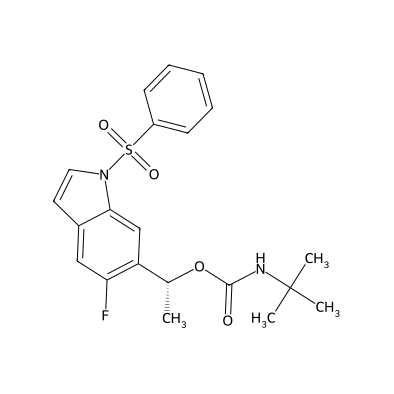 C[C@@H](OC(=O)NC(C)(C)C)c1cc2c(ccn2S(=O)(=O)c2ccccc2)cc1F